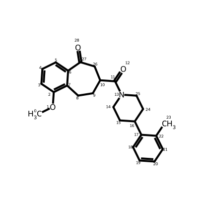 COc1cccc2c1CCC(C(=O)N1CCC(c3ccccc3C)CC1)CC2=O